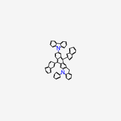 c1ccc(N2c3ccccc3Cc3cc4c(-c5ccc6ccccc6c5)c5cc(-n6c7ccccc7c7ccccc76)ccc5c(-c5ccc6ccccc6c5)c4cc32)cc1